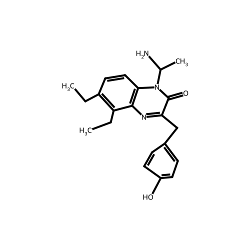 CCc1ccc2c(nc(Cc3ccc(O)cc3)c(=O)n2C(C)N)c1CC